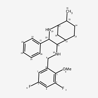 COc1c(F)cc(F)cc1CNC1C2CCC(C)C(C2)NC1c1ccccc1